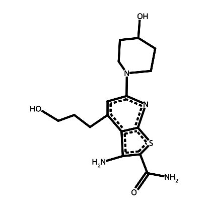 NC(=O)c1sc2nc(N3CCC(O)CC3)cc(CCCO)c2c1N